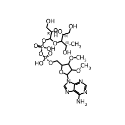 COC1C(COP(=O)(O)OP(=O)(O)OC(OC([C@H](C)O)[C@H](O)CO)[C@H](O)CO)OC(n2cnc3c(N)ncnc32)C1OC